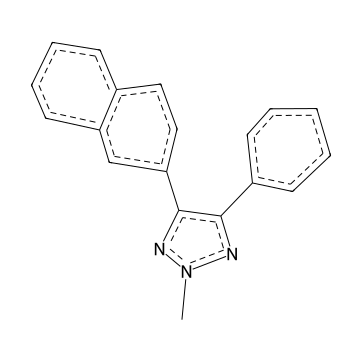 Cn1nc(-c2ccccc2)c(-c2ccc3ccccc3c2)n1